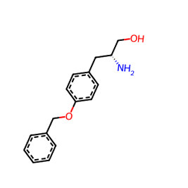 N[C@@H](CO)Cc1ccc(OCc2ccccc2)cc1